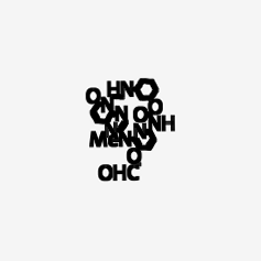 CNc1nc(NC(=O)OC2CCCC(NCCn3c(=O)ccc4nccnc43)C2)ccc1OCC=O